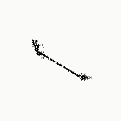 CCCN(OCC)C(=O)C1=Cc2ccc(-c3cccc(C(=O)NCCOCCOCCOCCOCCOCCOCCOCCOCCOCCOCCC(=O)Oc4c(F)c(F)c(S(=O)(=O)O)c(F)c4F)c3)cc2N=C(N)C1